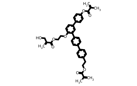 C=C(C)C(=O)OCCc1ccc(-c2ccc(-c3cc(-c4ccc(OC(=O)C(=C)C)cc4)ccc3OCCOC(=O)C(=C)CO)cc2)cc1